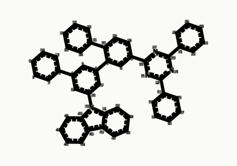 c1ccc(-c2cc(-c3cc(-c4nc(-c5ccccc5)nc(-c5ccccc5)n4)ccc3-c3ccccc3)cc(-n3c4ccccc4c4ccccc43)c2)cc1